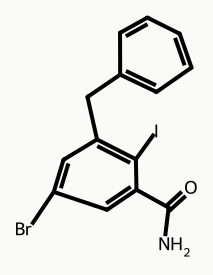 NC(=O)c1cc(Br)cc(Cc2ccccc2)c1I